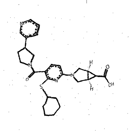 O=C(O)C1[C@H]2CN(c3ccc(C(=O)N4CCC(c5cccnc5)C4)c(SC4CCCCC4)n3)C[C@@H]12